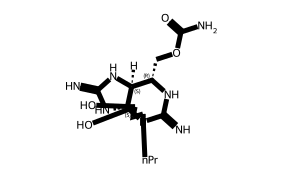 CCCC1CC(O)(O)[C@]23NC(=N)N[C@H]2[C@H](COC(N)=O)NC(=N)N13